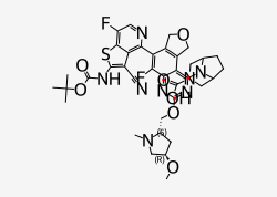 CO[C@@H]1C[C@@H](COc2nc(N3C4CCC3CN(C(=O)O)C4)c3c4c(c(-c5ncc(F)c6sc(NC(=O)OC(C)(C)C)c(C#N)c56)c(F)c3n2)COC4)N(C)C1